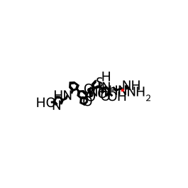 N=C(N)NCCC[C@H](NC(=O)c1sccc1NS(=O)(=O)c1cc(-c2ccccc2CNCc2ccc(O)nc2)cc2c1OCC2)C(=O)O